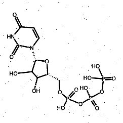 O=c1ccn([C@@H]2O[C@H](COP(=O)(O)OP(=O)(O)OP(=O)(O)O)C(O)C2O)c(=O)[nH]1